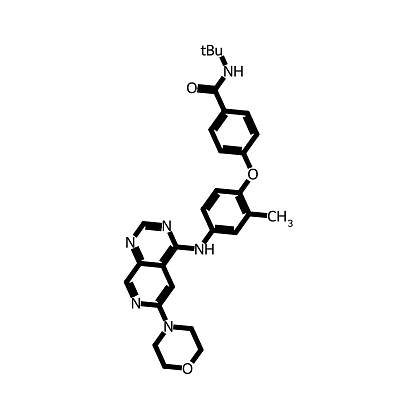 Cc1cc(Nc2ncnc3cnc(N4CCOCC4)cc23)ccc1Oc1ccc(C(=O)NC(C)(C)C)cc1